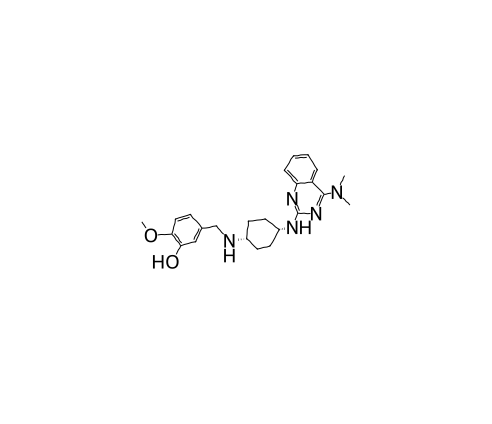 COc1ccc(CN[C@H]2CC[C@@H](Nc3nc(N(C)C)c4ccccc4n3)CC2)cc1O